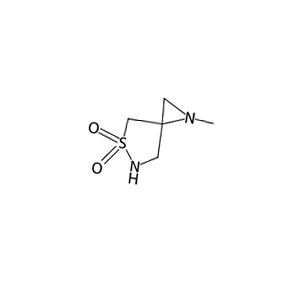 CN1CC12CNS(=O)(=O)C2